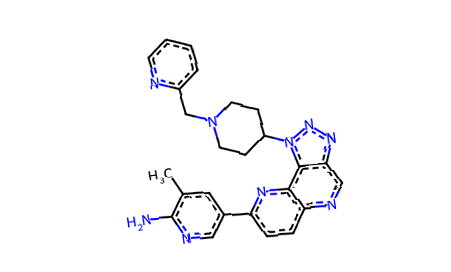 Cc1cc(-c2ccc3ncc4nnn(C5CCN(Cc6ccccn6)CC5)c4c3n2)cnc1N